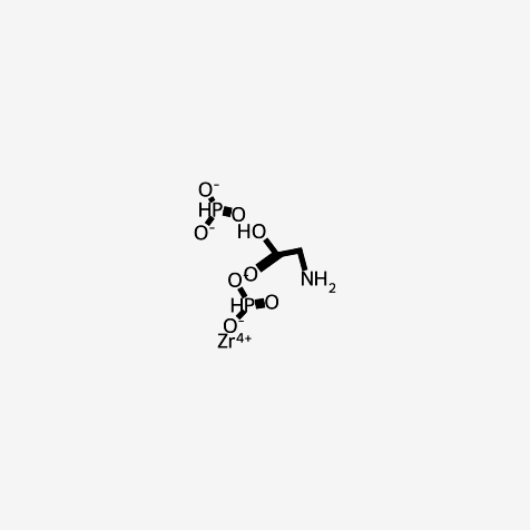 NCC(=O)O.O=[PH]([O-])[O-].O=[PH]([O-])[O-].[Zr+4]